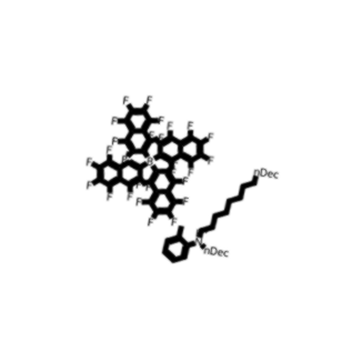 CCCCCCCCCCCCCCCCCC[NH+](CCCCCCCCCC)c1ccccc1C.Fc1c(F)c(F)c2c(F)c([B-](c3c(F)c(F)c4c(F)c(F)c(F)c(F)c4c3F)(c3c(F)c(F)c4c(F)c(F)c(F)c(F)c4c3F)c3c(F)c(F)c4c(F)c(F)c(F)c(F)c4c3F)c(F)c(F)c2c1F